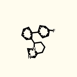 Fc1ccc(-c2ccccc2C2CCCc3cncn32)cc1